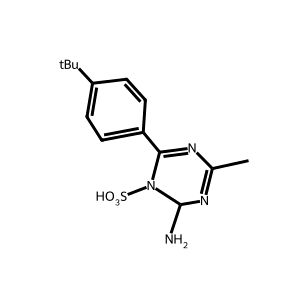 CC1=NC(N)N(S(=O)(=O)O)C(c2ccc(C(C)(C)C)cc2)=N1